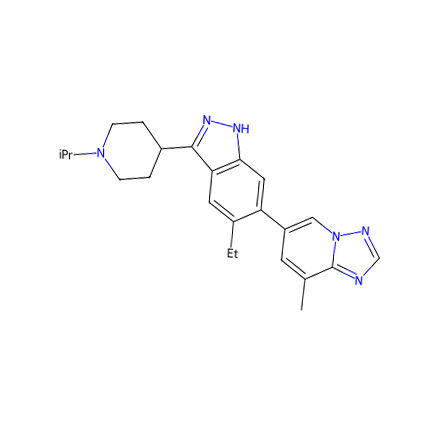 CCc1cc2c(C3CCN(C(C)C)CC3)n[nH]c2cc1-c1cc(C)c2ncnn2c1